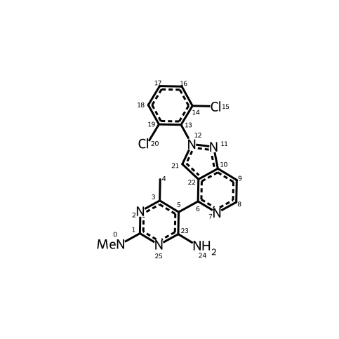 CNc1nc(C)c(-c2nccc3nn(-c4c(Cl)cccc4Cl)cc23)c(N)n1